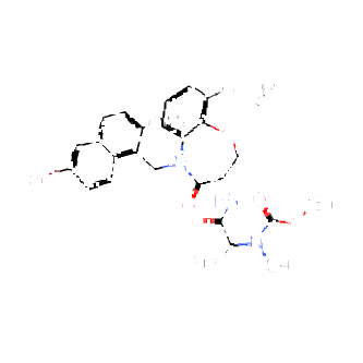 COc1ccc2cc(Br)ccc2c1CN1C(=O)[C@@H](NC(=O)[C@H](C)N(C)C(=O)OC(C)(C)C)COc2c(C(=O)O)cccc21